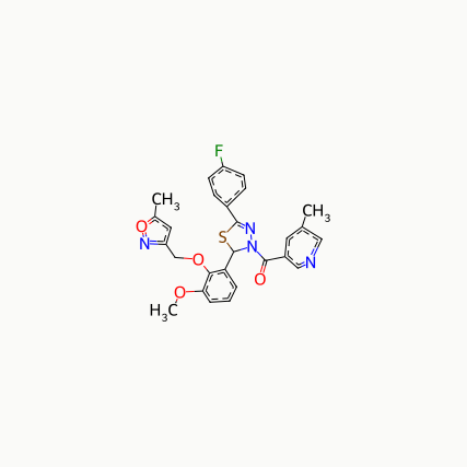 COc1cccc(C2SC(c3ccc(F)cc3)=NN2C(=O)c2cncc(C)c2)c1OCc1cc(C)on1